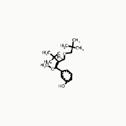 COC(=C(COCC(C)(C)C)C(C)(C)C)c1cccc(O)c1